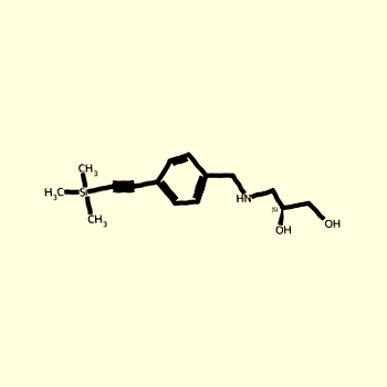 C[Si](C)(C)C#Cc1ccc(CNC[C@H](O)CO)cc1